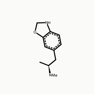 CN[C@@H](C)Cc1ccc2c(c1)OCN2